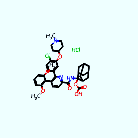 COc1cccc(OC)c1-c1ccc(C(=O)NC2(OC(=O)O)C3CC4CC(C3)CC2C4)nc1-c1ccc(Cl)c(OC2CCN(C)CC2)c1.Cl